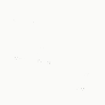 COc1cc(/C=N/NC(=O)C(OC)c2ccc3c(c2)OCCO3)ccc1C(F)(F)F